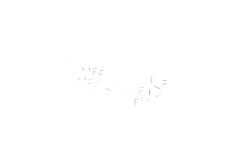 CCCC1COC(C(F)(F)C(F)(F)C2C=CC(C3CCC(C(F)(F)Oc4ccc(F)c(F)c4)CC3)CC2)OC1